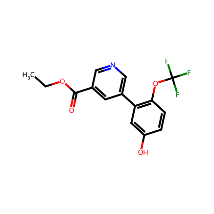 CCOC(=O)c1cncc(-c2cc(O)ccc2OC(F)(F)F)c1